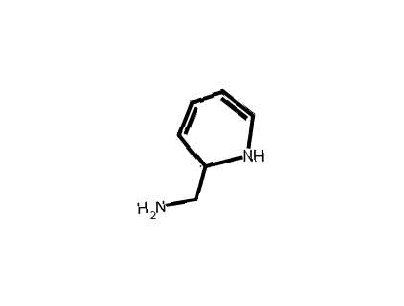 NC[C]1C=CC=CN1